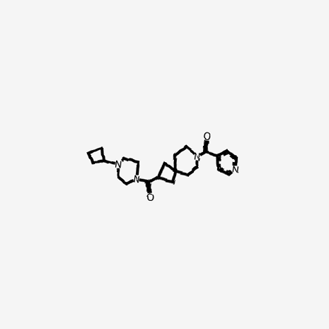 O=C(c1ccncc1)N1CCC2(CC1)CC(C(=O)N1CCN(C3CCC3)CC1)C2